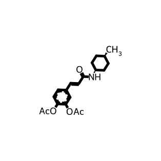 CC(=O)Oc1ccc(C=CC(=O)N[C@H]2CC[C@H](C)CC2)cc1OC(C)=O